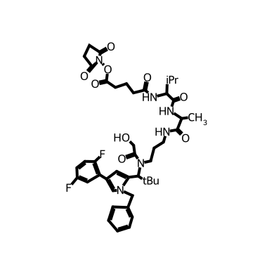 CC(NC(=O)C(NC(=O)CCCC(=O)ON1C(=O)CCC1=O)C(C)C)C(=O)NCCCN(C(=O)CO)C(c1cc(-c2cc(F)ccc2F)cn1Cc1ccccc1)C(C)(C)C